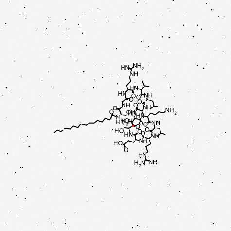 CCCCCCCCCCCCCCCC(=O)N[C@@H](CO)C(=O)NCC(=O)N[C@@H](CCCNC(=N)N)C(=O)N[C@H](C(=O)N[C@@H](CC(C)C)C(=O)N[C@@H](C)C(=O)N[C@H](C(=O)N[C@@H](CCCCN)C(=O)N[C@@H](CC(C)C)C(=O)N[C@@H](CCCNC(=N)N)C(=O)N[C@@H](CCC(=O)O)C(=O)N[C@H](C(N)=O)[C@@H](C)O)[C@@H](C)O)C(C)C